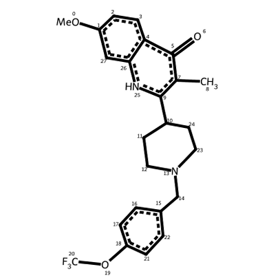 COc1ccc2c(=O)c(C)c(C3CCN(Cc4ccc(OC(F)(F)F)cc4)CC3)[nH]c2c1